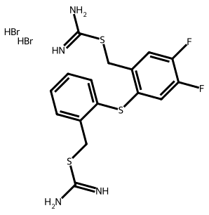 Br.Br.N=C(N)SCc1ccccc1Sc1cc(F)c(F)cc1CSC(=N)N